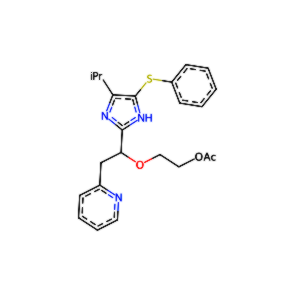 CC(=O)OCCOC(Cc1ccccn1)c1nc(C(C)C)c(Sc2ccccc2)[nH]1